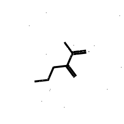 [CH]=C(C)C(=C)CCC